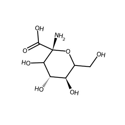 N[C@@]1(C(=O)O)OC(CO)[C@@H](O)[C@H](O)C1O